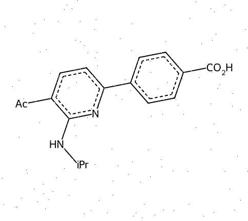 CC(=O)c1ccc(-c2ccc(C(=O)O)cc2)nc1NC(C)C